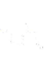 C#CC(C)n1cc(I)c2c(N)ncnc21